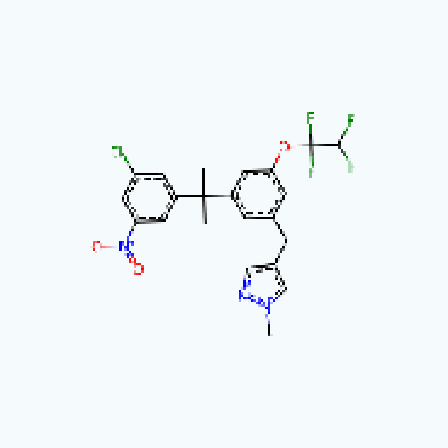 Cn1cc(Cc2cc(OC(F)(F)C(F)F)cc(C(C)(C)c3cc(Cl)cc([N+](=O)[O-])c3)c2)cn1